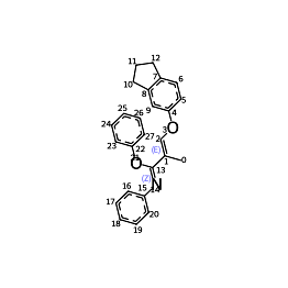 CC(=C\Oc1ccc2c(c1)CCC2)/C(=N/c1ccccc1)Oc1ccccc1